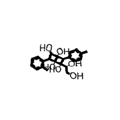 Cc1ccc(C2[C@]3(O)C(O)C(c4ccccc4C)[C@]3(O)[C@]2(O)[C@H](O)CO)cc1